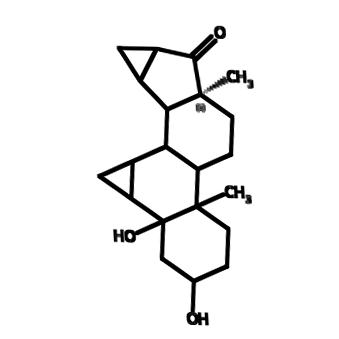 CC12CCC(O)CC1(O)C1CC1C1C2CC[C@]2(C)C(=O)C3CC3C12